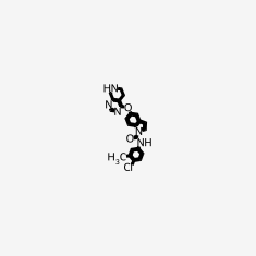 Cc1cc(NC(=O)n2ccc3cc(Oc4ncnc5c4CCNC5)ccc32)ccc1Cl